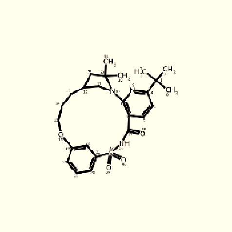 CC(C)(C)c1ccc2c(n1)N1CC(CCCOc3cccc(c3)S(=O)(=O)NC2=O)CC1(C)C